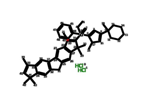 Cl.Cl.[CH2]=[Zr]([CH2]C)([C]1=CC(C2(C)CCCCC2)=CC1C)([C]1=C(C)c2cc3c(cc2C1(C)C)Cc1cc2c(cc1-3)C(C)=CC2(C)C)[c]1ccccc1